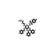 Cc1ccc(S(=O)(=O)OC[C@H]2O[C@H](OCCCO)[C@H](OCc3ccccc3)[C@@H](OCc3ccccc3)C2OCc2ccccc2)cc1